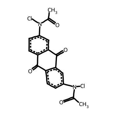 CC(=O)N(Cl)c1ccc2c(c1)C(=O)c1cc(N(Cl)C(C)=O)ccc1C2=O